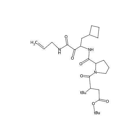 C=CCNC(=O)C(=O)C(CC1CCC1)NC(=O)C1CCCN1C(=O)C(CC(=O)OC(C)(C)C)C(C)(C)C